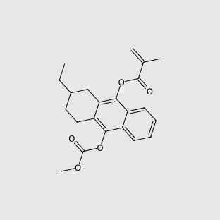 C=C(C)C(=O)Oc1c2c(c(OC(=O)OC)c3ccccc13)CCC(CC)C2